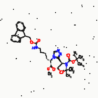 COC(=O)[C@H](CCCCNC(=O)OCC1c2ccccc2-c2ccccc21)n1cnnc1[C@@H]1COC(C)(C)N1C(=O)OC(C)(C)C